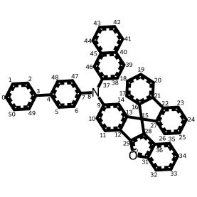 c1ccc(-c2ccc(N(c3ccc4c(c3)C3(c5ccccc5-c5ccccc53)c3c-4oc4ccccc34)c3ccc4ccccc4c3)cc2)cc1